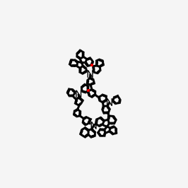 c1ccc(-n2c3ccccc3c3cc(-c4cccc(-c5ccc(N(c6ccc7c(c6)C6(c8ccccc8-c8ccccc86)c6cccc(-c8ccc9c%10cc(-c%11cccc(-c%12ccc(N(c%13ccc%14c(c%13)C%13(c%15ccccc%15-c%15ccccc%15%13)c%13ccccc%13-%14)c%13ccc%14ccccc%14c%13)cc%12)c%11)ccc%10n(-c%10ccccc%10)c9c8)c6-7)c6cccc7ccccc67)cc5)c4)ccc32)cc1